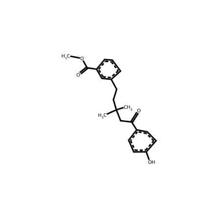 COC(=O)c1cccc(CCC(C)(C)CC(=O)c2ccc(O)cc2)c1